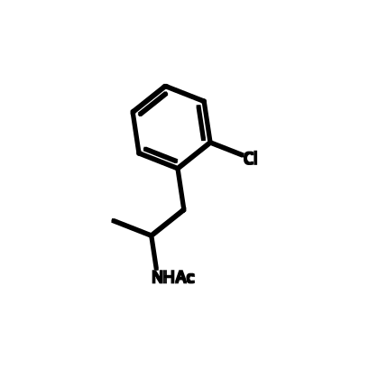 CC(=O)NC(C)Cc1ccccc1Cl